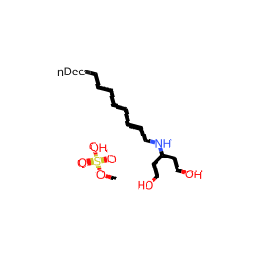 CCCCCCCCCCCCCCCCCCNC(CCO)CCO.COS(=O)(=O)O